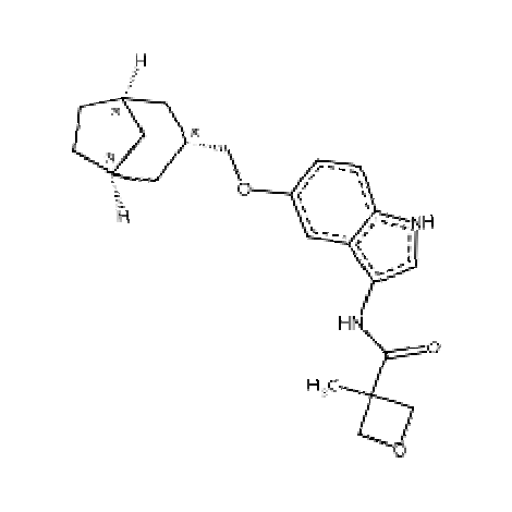 CC1(C(=O)Nc2c[nH]c3ccc(OC[C@H]4C[C@@H]5CC[C@@H](C5)C4)cc23)COC1